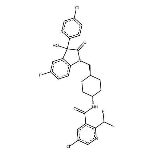 O=C(N[C@H]1CC[C@H](CN2C(=O)C(O)(c3ccc(Cl)cn3)c3cc(F)ccc32)CC1)c1cc(Cl)cnc1C(F)F